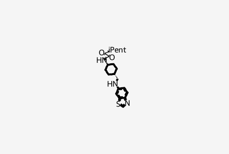 CCCC(C)S(=O)(=O)N[C@H]1CC[C@H](CNc2ccc3ncsc3c2)CC1